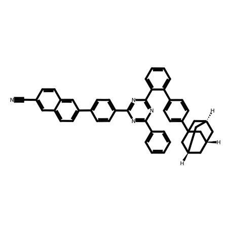 N#Cc1ccc2cc(-c3ccc(-c4nc(-c5ccccc5)nc(-c5ccccc5-c5ccc(C67C[C@H]8C[C@H](C6)C[C@@H](C7)C8)cc5)n4)cc3)ccc2c1